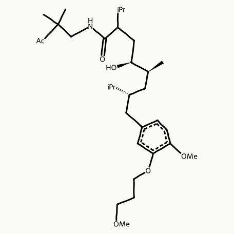 COCCCOc1cc(C[C@@H](C[C@H](C)[C@@H](O)CC(C(=O)NCC(C)(C)C(C)=O)C(C)C)C(C)C)ccc1OC